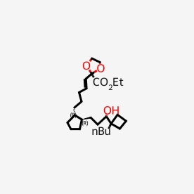 CCCCC1(C(O)CC[C@H]2CCC[C@@H]2CCCC=CC2(C(=O)OCC)OCCO2)CCC1